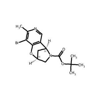 Cc1ncc2c(c1Br)O[C@H]1C[C@@H]2N(C(=O)OC(C)(C)C)C1